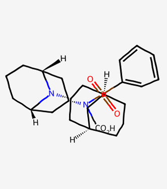 O=C(O)N([C@H]1C[C@H]2CCC[C@@H](C1)N2[C@H]1C[C@@H]2CCC[C@@H](C2)C1)S(=O)(=O)c1ccccc1